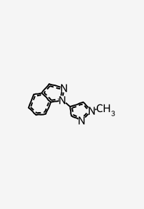 Cn1cc(-n2ncc3ccccc32)cn1